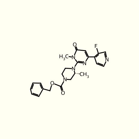 C[C@@H]1CN(C(=O)OCc2ccccc2)CCN1c1nc(-c2ccncc2F)cc(=O)n1C